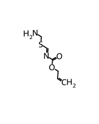 C=CCOC(=O)N=CSCN